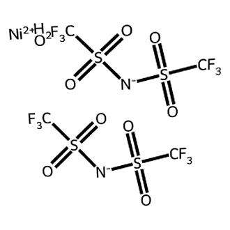 O.O=S(=O)([N-]S(=O)(=O)C(F)(F)F)C(F)(F)F.O=S(=O)([N-]S(=O)(=O)C(F)(F)F)C(F)(F)F.[Ni+2]